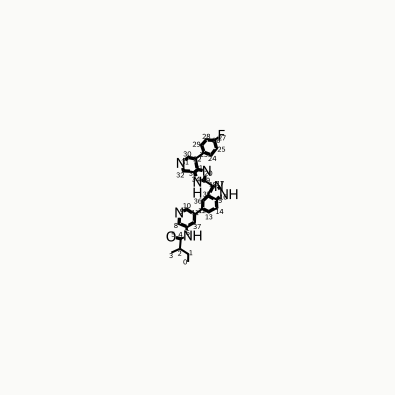 CCC(C)C(=O)Nc1cncc(-c2ccc3[nH]nc(-c4nc5c(-c6ccc(F)cc6)cncc5[nH]4)c3c2)c1